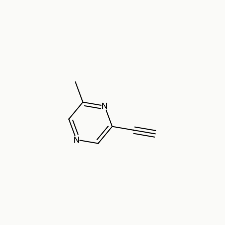 C#Cc1cncc(C)n1